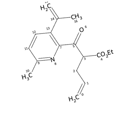 C=CCC(C(=O)OCC)C(=O)c1nc(C)ccc1C(=C)C